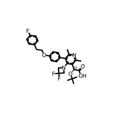 Cc1nc(C)c([C@H](OC(C)(C)C)C(=O)O)c(N2CC(F)(F)C2)c1-c1ccc(OCCc2ccc(F)cc2)cc1